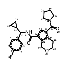 O=C(NC(c1ccc(F)cc1)C1CC1)c1cc(C(=O)N2CCCC2)n2c1COCC2